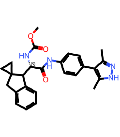 COC(=O)N[C@H](C(=O)Nc1ccc(-c2c(C)n[nH]c2C)cc1)C1c2ccccc2CC12CC2